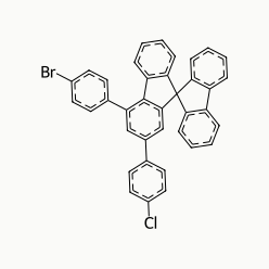 Clc1ccc(-c2cc(-c3ccc(Br)cc3)c3c(c2)C2(c4ccccc4-c4ccccc42)c2ccccc2-3)cc1